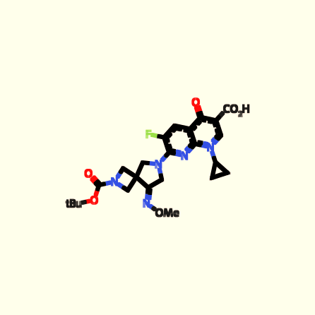 CON=C1CN(c2nc3c(cc2F)c(=O)c(C(=O)O)cn3C2CC2)CC12CN(C(=O)OC(C)(C)C)C2